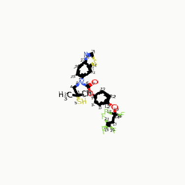 CC(C)(S)CN(C(=O)Oc1ccc(OC(F)(F)CC(F)(F)F)cc1)c1ccc2ncsc2c1